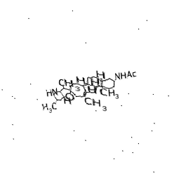 CC(=O)N[C@@H]1CC[C@@]2(C)[C@H](CC[C@H]3[C@@H]4CC[C@@]5(CC(C)=C4C[C@@H]32)O[C@@H]2C[C@H](C)CNC2[C@H]5C)C1